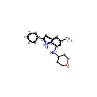 Cc1cc(NC2CCOCC2)c2[nH]c(-c3ccccc3)cc2c1